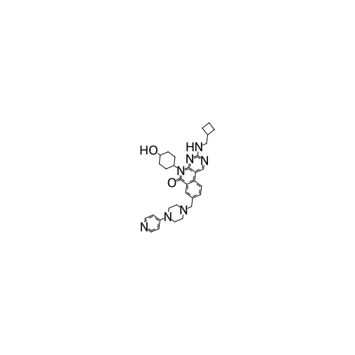 O=c1c2cc(CN3CCN(c4ccncc4)CC3)ccc2c2cnc(NCC3CCC3)nc2n1C1CCC(O)CC1